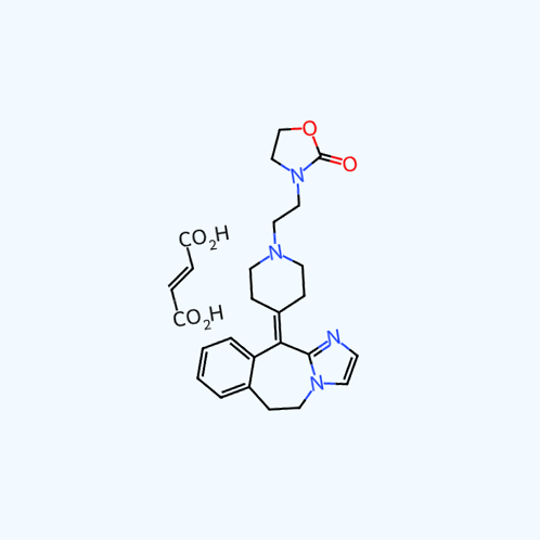 O=C(O)C=CC(=O)O.O=C1OCCN1CCN1CCC(=C2c3ccccc3CCn3ccnc32)CC1